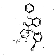 C[C@@H]1CC[C@](Sc2cc(C#N)ccn2)(C(=O)c2ccccc2Oc2ccccc2)CN1